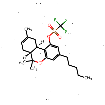 CCCCCc1cc2c(c(OS(=O)(=O)C(F)(F)F)c1)[C@@H]1CC(C)=CC[C@H]1C(C)(C)O2